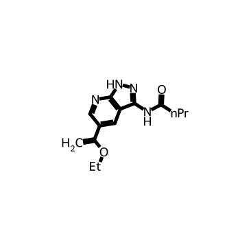 C=C(OCC)c1cnc2[nH]nc(NC(=O)CCC)c2c1